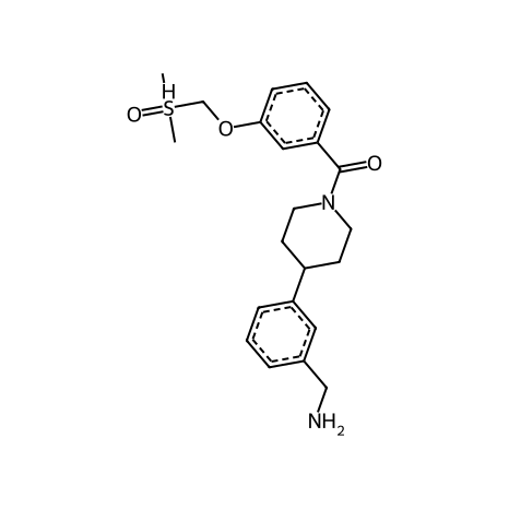 C[SH](C)(=O)COc1cccc(C(=O)N2CCC(c3cccc(CN)c3)CC2)c1